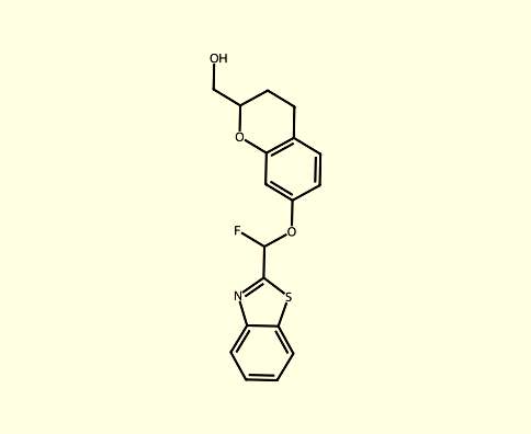 OCC1CCc2ccc(OC(F)c3nc4ccccc4s3)cc2O1